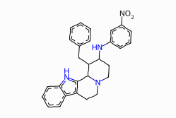 O=[N+]([O-])c1cccc(NC2CCN3CCc4c([nH]c5ccccc45)C3C2Cc2ccccc2)c1